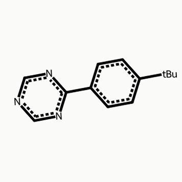 CC(C)(C)c1ccc(-c2ncncn2)cc1